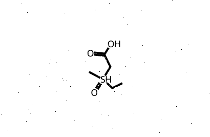 CC[SH](C)(=O)CC(=O)O